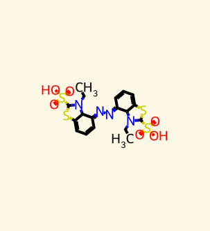 CCN1C2C(=CC=CC2=NN=C2C=CC=C3SC(S(=O)(=O)O)N(CC)C32)SC1S(=O)(=O)O